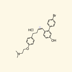 CN(C)CCOc1ccc(CC/C=C\c2ccc(O)cc2-c2ccc(Br)cc2)cc1.Cl